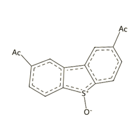 CC(=O)c1ccc2c(c1)c1cc(C(C)=O)ccc1[s+]2[O-]